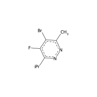 Cc1nnc(C(C)C)c(F)c1Br